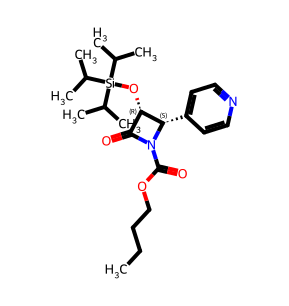 CCCCOC(=O)N1C(=O)[C@H](O[Si](C(C)C)(C(C)C)C(C)C)[C@@H]1c1ccncc1